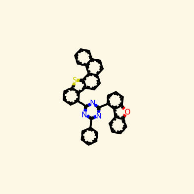 c1ccc(-c2nc(-c3cccc4oc5ccccc5c34)nc(-c3cccc4sc5c(ccc6ccc7ccccc7c65)c34)n2)cc1